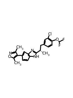 Cc1noc(C)c1-c1ccc2[nH]c([C@@H](C)Cc3ccc(OC(F)F)c(Cl)c3)nc2c1